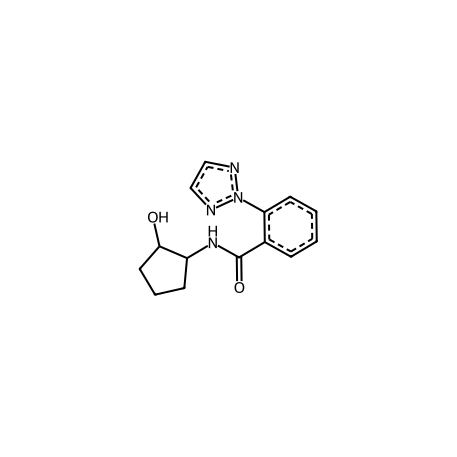 O=C(NC1CCCC1O)c1ccccc1-n1nccn1